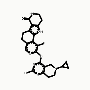 O=C1NCCc2[nH]c3c(c21)CCc1cnc(Oc2nc(Cl)nc4c2CN(C2CC2)CC4)c(F)c1-3